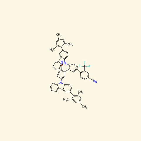 Cc1cc(C)c(-c2ccc3c(c2)c2ccccc2n3-c2ccc(C#N)c(-c3cc(-c4ccc(C#N)cc4C(F)(F)F)ccc3-n3c4ccccc4c4cc(-c5c(C)cc(C)cc5C)ccc43)c2)c(C)c1